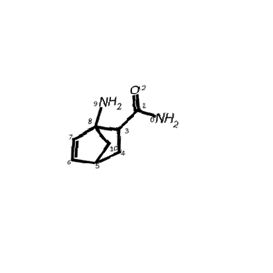 NC(=O)C1CC2C=CC1(N)C2